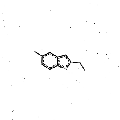 CCn1cc2cc(C)ccc2n1